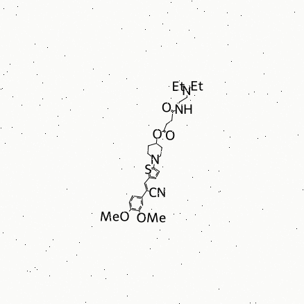 CCN(CC)CCNC(=O)CCC(=O)OC1CCN(c2ccc(/C=C(\C#N)c3ccc(OC)c(OC)c3)s2)CC1